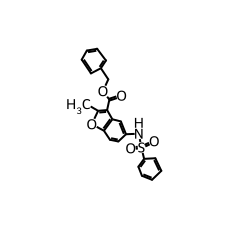 Cc1oc2ccc(NS(=O)(=O)c3ccccc3)cc2c1C(=O)OCc1ccccc1